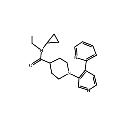 CCN(C(=O)C1CCN(c2cnccc2-c2ccccn2)CC1)C1CC1